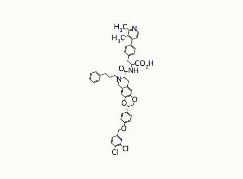 Cc1nccc(-c2ccc(C[C@H](NC(=O)[C@@H]3Cc4cc5c(cc4CN3CCCc3ccccc3)O[C@@H](c3ccc(OCc4ccc(Cl)c(Cl)c4)cc3)CO5)C(=O)O)cc2)c1C